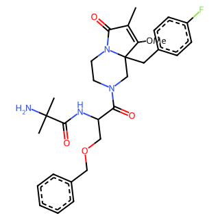 COC1=C(C)C(=O)N2CCN(C(=O)C(COCc3ccccc3)NC(=O)C(C)(C)N)CC12Cc1ccc(F)cc1